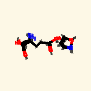 NC(CCC(=O)O)C(=O)O.c1cnoc1